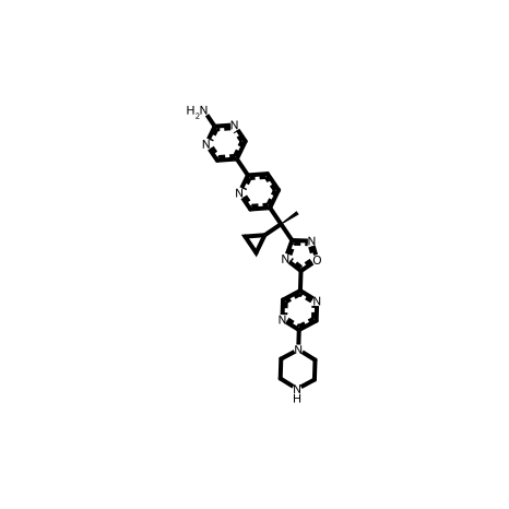 C[C@@](c1ccc(-c2cnc(N)nc2)nc1)(c1noc(-c2cnc(N3CCNCC3)cn2)n1)C1CC1